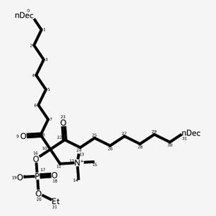 CCCCCCCCCCCCCCCCCC(=O)C(C[N+](C)(C)C)(OP(=O)([O-])OCC)C(=O)CCCCCCCCCCCCCCCCC